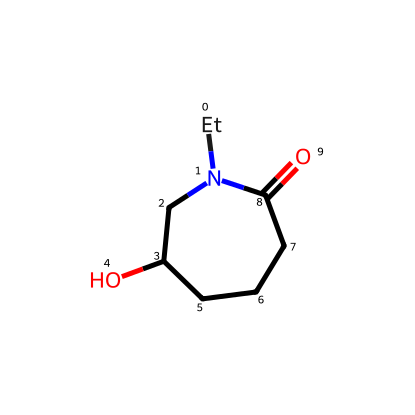 CCN1CC(O)CCCC1=O